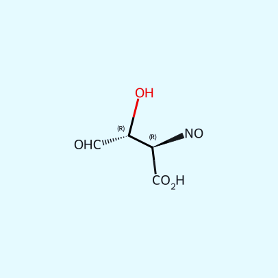 O=C[C@H](O)[C@@H](N=O)C(=O)O